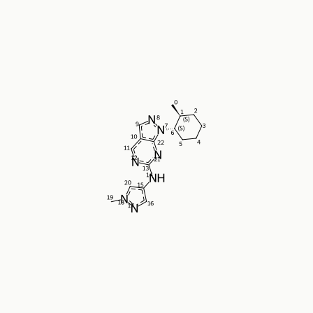 C[C@H]1CCCC[C@@H]1n1ncc2cnc(Nc3cnn(C)c3)nc21